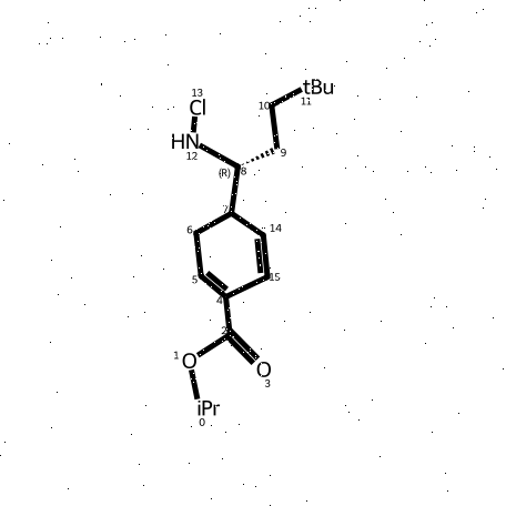 CC(C)OC(=O)C1=CCC([C@@H](CCC(C)(C)C)NCl)C=C1